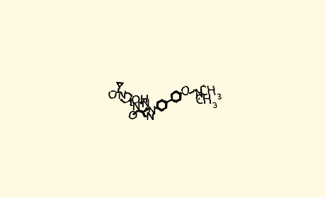 CN(C)CCOc1ccc(-c2ccc(-n3ncc4c(=O)n(CC5(O)CCN(C(=O)C6CC6)CC5)cnc43)cc2)cc1